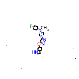 CC(c1ccc(F)cc1)N1CCN(c2cc(Oc3ccc4cc[nH]c4c3)ncn2)CC1